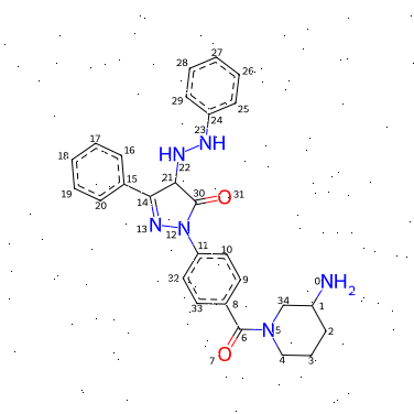 NC1CCCN(C(=O)c2ccc(N3N=C(c4ccccc4)C(NNc4ccccc4)C3=O)cc2)C1